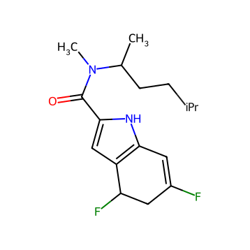 CC(C)CCC(C)N(C)C(=O)c1cc2c([nH]1)C=C(F)CC2F